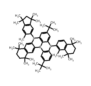 Cc1cc2c(cc1N1c3cc4c(cc3B3c5cc(C(C)(C)C)ccc5N(c5ccc6c(c5C)C(C)(C)CCC6(C)C)c5cc(C(C)(C)C)cc1c53)C(C)(C)CCC4(C)C)C(C)(C)CC2(C)C